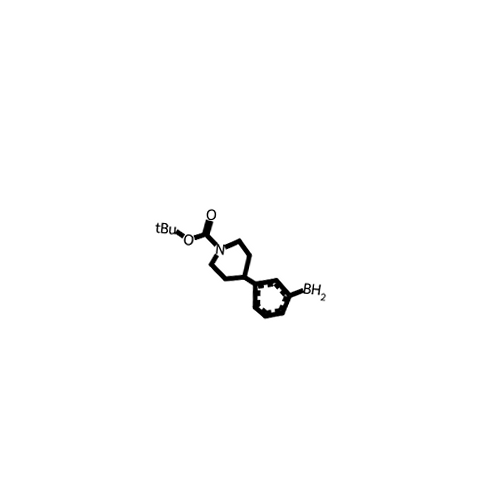 Bc1cccc(C2CCN(C(=O)OC(C)(C)C)CC2)c1